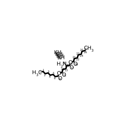 CCCCCCCC(=O)OC(=O)CC[C@H](N)C(=O)OC(=O)CCCCCCC.[KH].[KH].[KH].[KH]